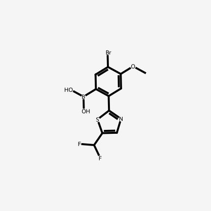 COc1cc(-c2ncc(C(F)F)s2)c(B(O)O)cc1Br